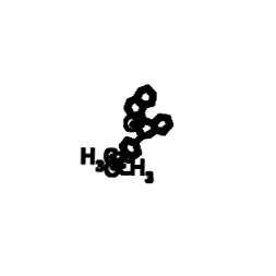 CP(C)(=O)c1ccc(-c2cc3ccccc3c3c2oc2ccc4ccccc4c23)cc1